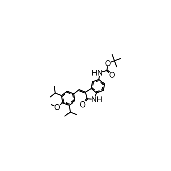 COc1c(C(C)C)cc(/C=C2\C(=O)Nc3ccc(NC(=O)OC(C)(C)C)cc32)cc1C(C)C